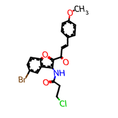 COc1ccc(/C=C/C(=O)c2oc3ccc(Br)cc3c2NC(=O)CCCl)cc1